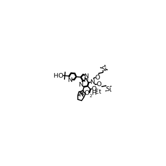 C=C(OCC)c1c(C2CC3CCC(C2)N3C(=O)O)nc2c(-c3ccc(C(C)(C)O)nc3)cnn2c1N(COCC[Si](C)(C)C)COCC[Si](C)(C)C